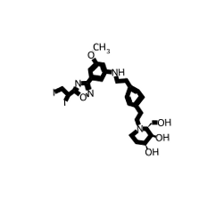 COc1cc(NCCc2ccc(CCN3CC[C@@H](O)[C@H](O)[C@H]3CO)cc2)cc(-c2noc(C(I)CI)n2)c1